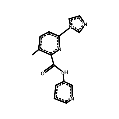 Cc1ccc(-n2ccnc2)nc1C(=O)Nc1cccnc1